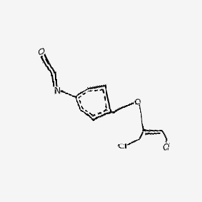 O=C=Nc1ccc(OC(Cl)=CCl)cc1